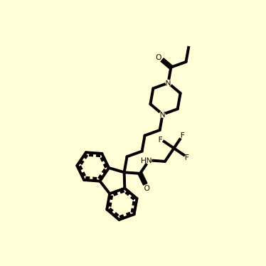 CCC(=O)N1CCN(CCCCC2(C(=O)NCC(F)(F)F)c3ccccc3-c3ccccc32)CC1